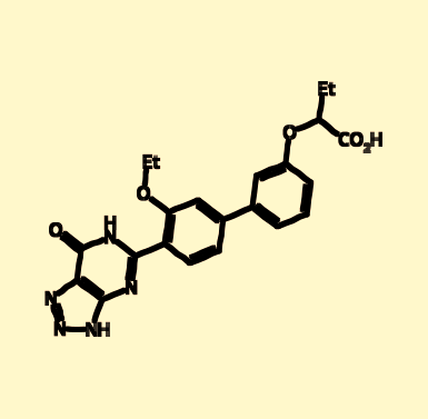 CCOc1cc(-c2cccc(OC(CC)C(=O)O)c2)ccc1-c1nc2[nH]nnc2c(=O)[nH]1